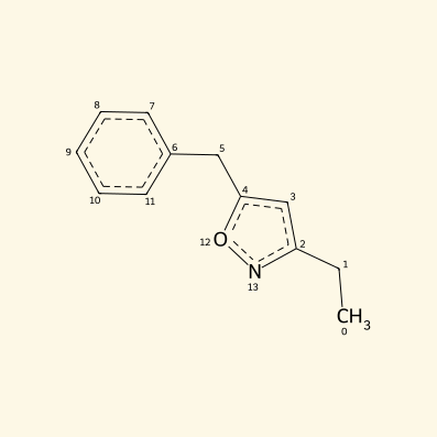 CCc1cc(Cc2ccccc2)on1